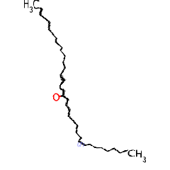 CCCCCCCC/C=C\CCCCCCCC(=O)CCCCCCCCCCCCCCCC